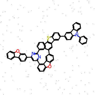 c1ccc(-c2nc(-c3ccc4c(c3)oc3ccccc34)cc(-c3cccc4oc5ccc(-c6ccc7sc8ccc(-c9ccc%10c(c9)c9ccccc9n%10-c9ccccc9)cc8c7c6)cc5c34)n2)cc1